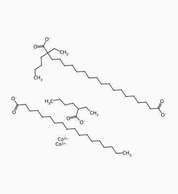 CCCCC(CC)(CCCCCCCCCCCCCCCCCC(=O)[O-])C(=O)[O-].CCCCC(CC)C(=O)[O-].CCCCCCCCCCCCCCCCCC(=O)[O-].[Co+2].[Co+2]